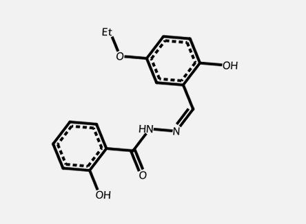 CCOc1ccc(O)c(/C=N\NC(=O)c2ccccc2O)c1